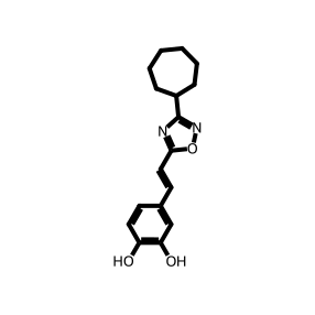 Oc1ccc(/C=C/c2nc(C3CCCCCC3)no2)cc1O